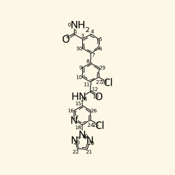 NC(=O)c1cccc(-c2ccc(C(=O)Nc3cnc(-n4nccn4)c(Cl)c3)c(Cl)c2)c1